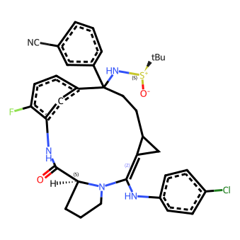 CC(C)(C)[S@@+]([O-])NC1(c2cccc(C#N)c2)CCC2C/C2=C(\Nc2ccc(Cl)cc2)N2CCC[C@H]2C(=O)Nc2cc1ccc2F